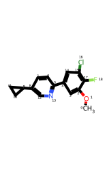 COc1cc(-c2ccc(C3CC3)cn2)cc(Cl)c1F